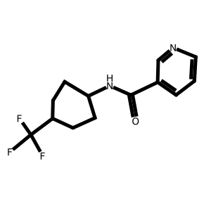 O=C(NC1CCC(C(F)(F)F)CC1)c1cccnc1